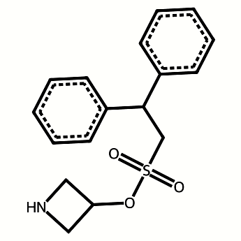 O=S(=O)(CC(c1ccccc1)c1ccccc1)OC1CNC1